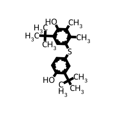 Cc1c(Sc2ccc(O)c(C(C)(C)C)c2)cc(C(C)(C)C)c(O)c1C